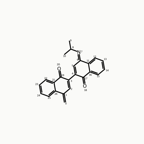 C=C1C=C(C2=C/C(=N\C(C)C)c3ccccc3C2=O)C(=O)c2ccccc21